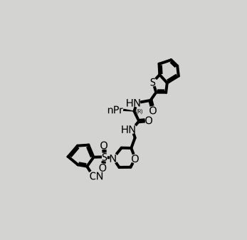 CCC[C@@H](NC(=O)c1cc2ccccc2s1)C(=O)NCC1CN(S(=O)(=O)c2ccccc2C#N)CCO1